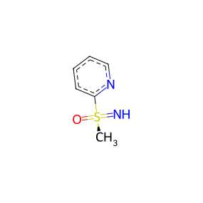 C[S@@](=N)(=O)c1ccccn1